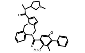 COc1c(C(=O)N2Cc3ccc(C(=O)N(C)C4CCN(C)C4)n3Cc3ccccc32)cc(Cl)c(-c2ccccc2)c1C